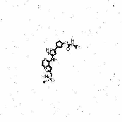 CC(C)NC(=O)OC1CCC(c2cc(Nc3nccn4nc(CS(=N)(=O)C(C)C)cc34)n[nH]2)C1